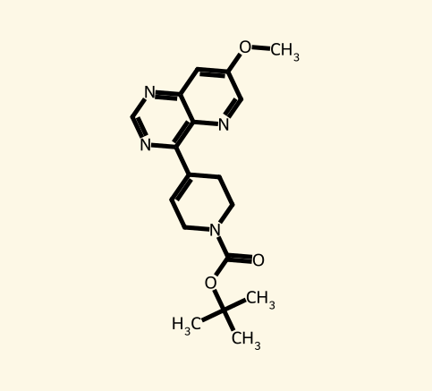 COc1cnc2c(C3=CCN(C(=O)OC(C)(C)C)CC3)ncnc2c1